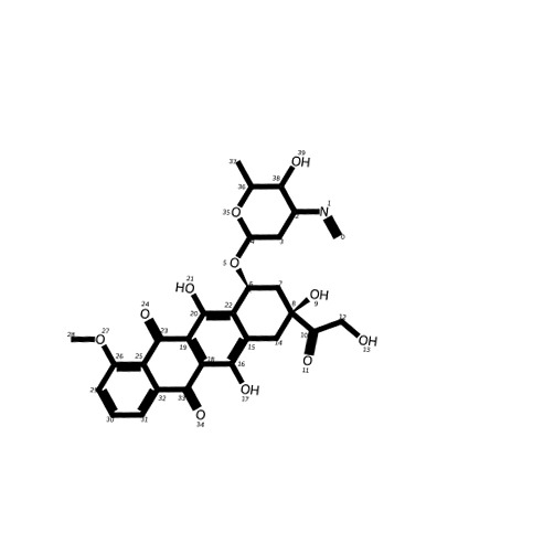 C=NC1CC(O[C@H]2C[C@](O)(C(=O)CO)Cc3c(O)c4c(c(O)c32)C(=O)c2c(OC)cccc2C4=O)OC(C)C1O